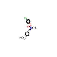 CN(CC[C@H]1CC[C@H](C(=O)O)CC1)C(=O)Oc1ccc(Cl)cc1